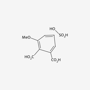 COc1cccc(C(=O)O)c1C(=O)O.O=S(=O)(O)O